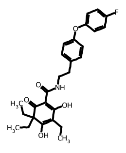 CCC1=C(O)C(CC)(CC)C(=O)C(C(=O)NCCc2ccc(Oc3ccc(F)cc3)cc2)=C1O